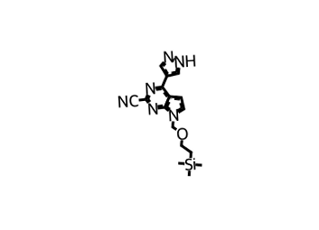 C[Si](C)(C)CCOCn1ccc2c(-c3cn[nH]c3)nc(C#N)nc21